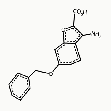 Nc1c(C(=O)O)oc2cc(OCc3ccccc3)ccc12